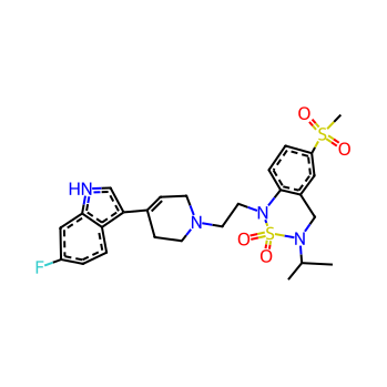 CC(C)N1Cc2cc(S(C)(=O)=O)ccc2N(CCN2CC=C(c3c[nH]c4cc(F)ccc34)CC2)S1(=O)=O